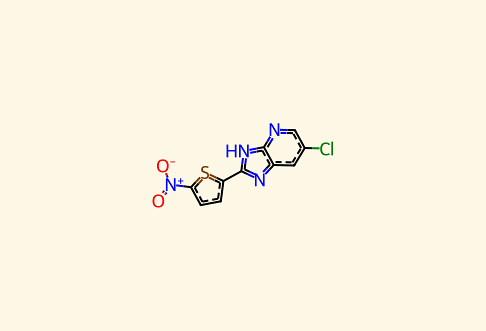 O=[N+]([O-])c1ccc(-c2nc3cc(Cl)cnc3[nH]2)s1